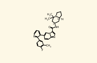 Cc1cc(-c2ncccc2-c2ccc3ncc(C(=O)N[C@@H]4C[C@@H]5CCCN5C(C)(C)C4)n3c2)ccc1F